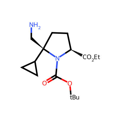 CCOC(=O)[C@@H]1CC[C@@](CN)(C2CC2)N1C(=O)OC(C)(C)C